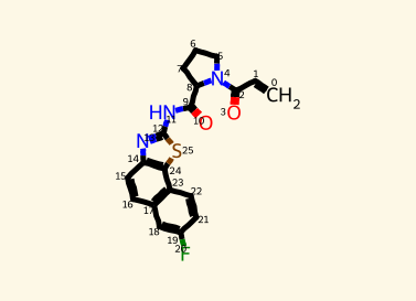 C=CC(=O)N1CCCC1C(=O)Nc1nc2ccc3cc(F)ccc3c2s1